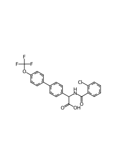 O=C(NC(C(=O)O)c1ccc(-c2ccc(OC(F)(F)F)cc2)cc1)c1ccccc1Cl